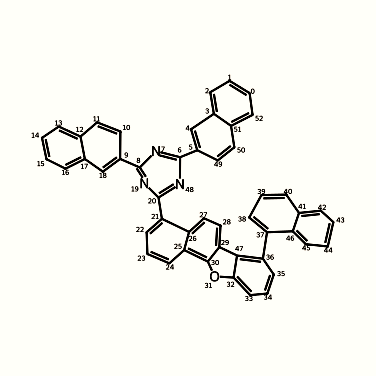 c1ccc2cc(-c3nc(-c4ccc5ccccc5c4)nc(-c4cccc5c4ccc4c5oc5cccc(-c6cccc7ccccc67)c54)n3)ccc2c1